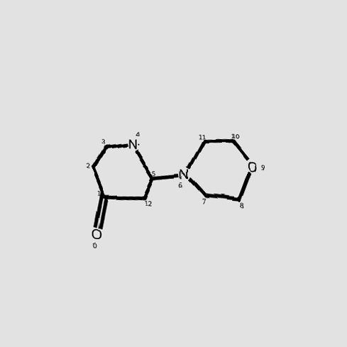 O=C1CC[N]C(N2CCOCC2)C1